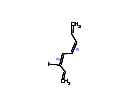 C=C/C=C\C=C(\I)C=C